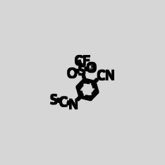 N#Cc1ccc(N=C=S)cc1S(=O)(=O)C(F)(F)F